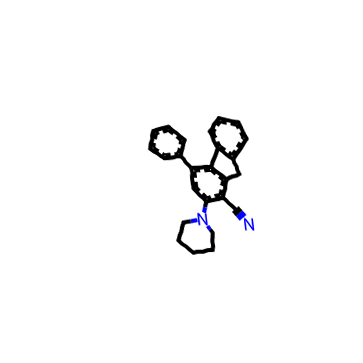 N#Cc1c(N2CCCCC2)cc(-c2ccccc2)c2c1Cc1ccccc1-2